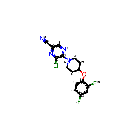 N#Cc1cnc(N2CCC(Oc3ccc(F)cc3F)CC2)c(Cl)n1